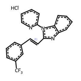 Cl.FC(F)(F)c1cccc(/C=C/c2nc3ccccc3n2-c2ccccn2)c1